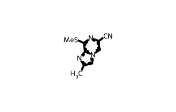 CSc1nc(C#N)cn2cc(C)nc12